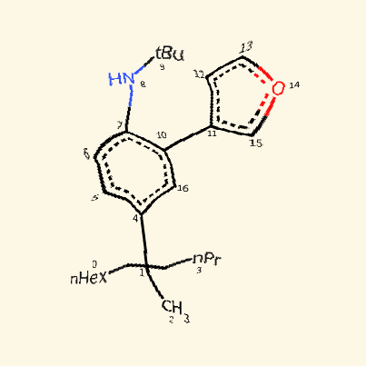 CCCCCCC(C)(CCC)c1ccc(NC(C)(C)C)c(-c2ccoc2)c1